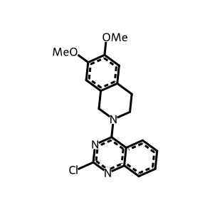 COc1cc2c(cc1OC)CN(c1nc(Cl)nc3ccccc13)CC2